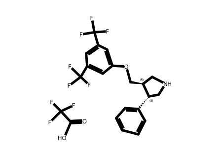 FC(F)(F)c1cc(OC[C@H]2CNC[C@@H]2c2ccccc2)cc(C(F)(F)F)c1.O=C(O)C(F)(F)F